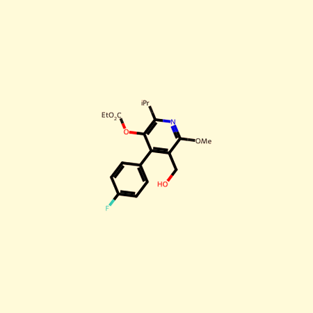 CCOC(=O)Oc1c(C(C)C)nc(OC)c(CO)c1-c1ccc(F)cc1